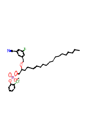 CCCCCCCCCCCCCCCCCC(COP(=O)(OC)Oc1ccccc1Cl)OCc1cc(F)cc(C#N)c1